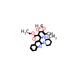 CCOC(=O)c1c(-c2cc3ccccc3nc2N2CCC[C@@H](C)C2)[nH]c(C)c(OC)c1=O